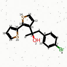 CC(O)(Cc1ccc(Br)cc1)c1ccsc1-c1cccs1